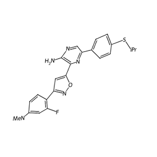 CNc1ccc(-c2cc(-c3nc(-c4ccc(SC(C)C)cc4)cnc3N)on2)c(F)c1